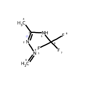 C=N/N=C(/C)NC(F)(F)F